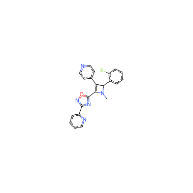 CN1C(c2nc(-c3ccccn3)no2)=C(c2ccncc2)C1c1ccccc1F